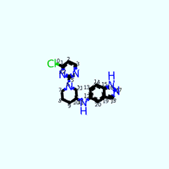 Clc1ccnc(N2CCCC(Nc3ccc4[nH]ncc4c3)C2)n1